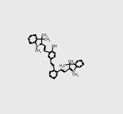 C[N+]1=C(/C=C/c2cc(/C=C/c3ccccc3/C=C/C3=[N+](C)c4ccccc4C3(C)C)ccc2O)C(C)(C)c2ccccc21